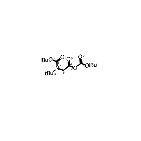 CC(C)COC(=O)OC(=O)CN(C(=O)OCC(C)C)C(C)(C)C